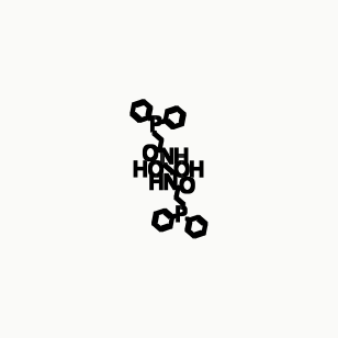 O=C(CCP(c1ccccc1)c1ccccc1)NC(O)C(O)NC(=O)CCP(c1ccccc1)c1ccccc1